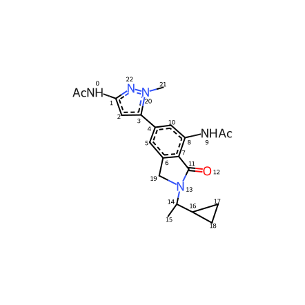 CC(=O)Nc1cc(-c2cc3c(c(NC(C)=O)c2)C(=O)N(C(C)C2CC2)C3)n(C)n1